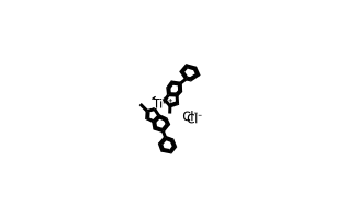 [CH2]=[Ti+2]([CH]1C(C)=Cc2cc(-c3ccccc3)ccc21)[CH]1C(C)=Cc2cc(-c3ccccc3)ccc21.[Cl-].[Cl-]